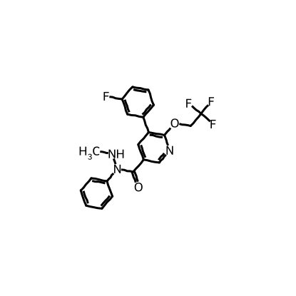 CNN(C(=O)c1cnc(OCC(F)(F)F)c(-c2cccc(F)c2)c1)c1ccccc1